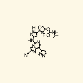 CC(C)NC(=O)O[C@@H]1CO[C@H](c2cc(Nc3ncc(-c4ccnn4C)c4nc(C#N)cn34)n[nH]2)[C@@H]1F